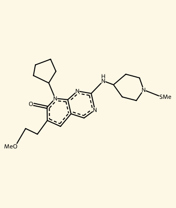 COCCc1cc2cnc(NC3CCN(SC)CC3)nc2n(C2CCCC2)c1=O